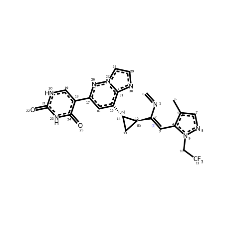 C=N/C(=C\c1c(C)cnn1CC(F)(F)F)[C@H]1C[C@@H]1c1cc(-c2c[nH]c(=O)[nH]c2=O)nn2ccnc12